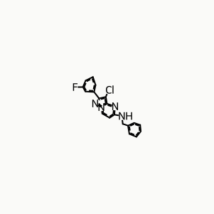 Fc1cccc(-c2nn3ccc(NCc4ccccc4)nc3c2Cl)c1